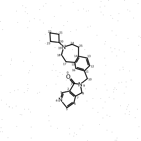 O=C1c2cnccc2CN1Cc1ccc2c(c1)CCN(C1CCC1)CC2